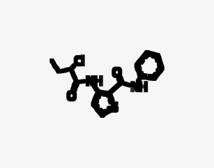 CCC(Cl)C(=O)Nc1ccsc1C(=O)Nc1ccccc1